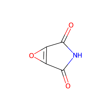 O=c1[nH]c(=O)c2oc1=2